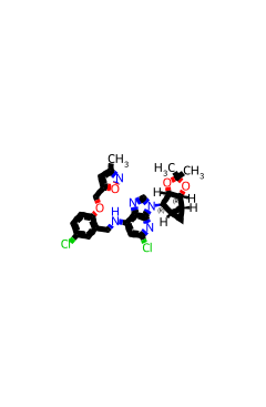 Cc1cc(COc2ccc(Cl)cc2CNc2cc(Cl)nc3c2ncn3[C@@H]2[C@H]3C[C@H]3[C@H]3OC(C)(C)O[C@H]32)on1